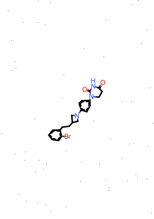 O=C1CCN(c2ccc(N3CC(CCc4ccccc4Br)C3)cc2)C(=O)N1